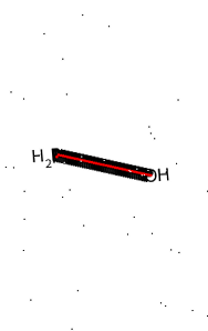 OP=PP=PP=PP=PP=PP=PP=PP=PP=PP=PP=PP=PP=PP=PP=PP=PP=PP=PP=PP=PP=PP=PP=PP=PP=PP=PP=PP=PP=PP=PP=PP=PP=PP=PP=PP=PP=PP=PP=PP(#P)P